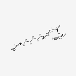 CN(C)C.N=C=O.O=C=NCCCCCCN=C=O